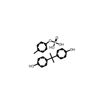 CC(C)(c1ccc(O)cc1)c1ccc(O)cc1.Cc1ccc(OP(=O)(O)O)cc1